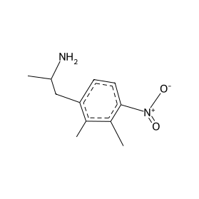 Cc1c(CC(C)N)ccc([N+](=O)[O-])c1C